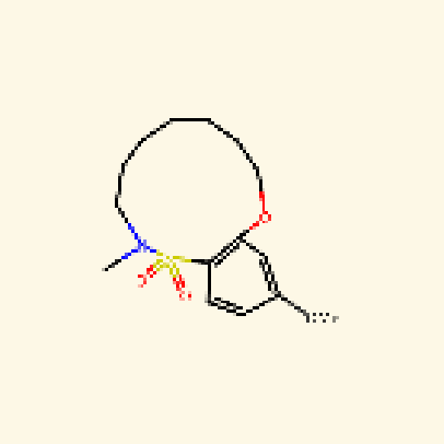 COc1ccc2c(c1)OCCCCCCCN(C)S2(=O)=O